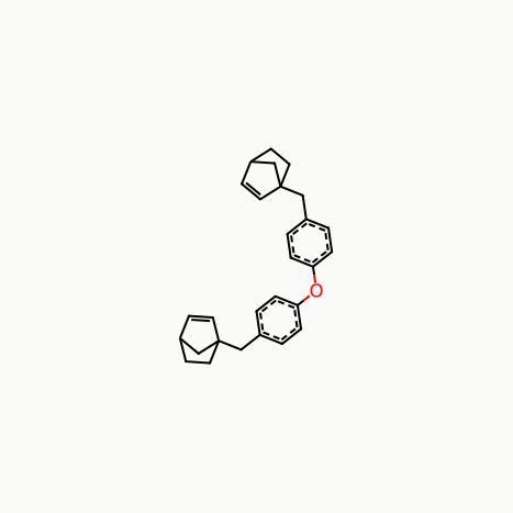 C1=CC2(Cc3ccc(Oc4ccc(CC56C=CC(CC5)C6)cc4)cc3)CCC1C2